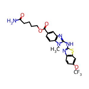 Cn1c(Nc2nc3ccc(OC(F)(F)F)cc3s2)nc2cc(C(=O)OCCCCC(N)=O)ccc21